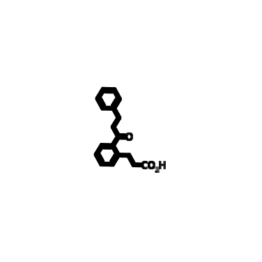 O=C(O)CCc1ccccc1C(=O)CCc1ccccc1